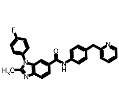 Cc1nc2ccc(C(=O)Nc3ccc(Cc4ccccn4)cc3)cc2n1-c1ccc(F)cc1